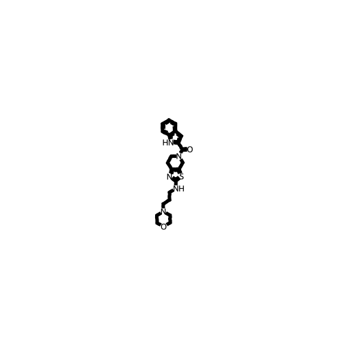 O=C(c1cc2ccccc2[nH]1)N1CCc2nc(NCCCN3CCOCC3)sc2C1